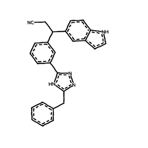 N#CCC(c1cccc(-c2nnc(Cc3ccccc3)[nH]2)c1)c1ccc2[nH]ccc2c1